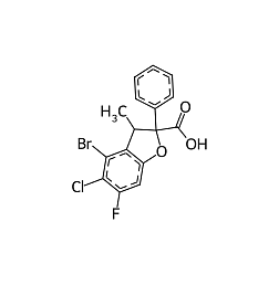 CC1c2c(cc(F)c(Cl)c2Br)OC1(C(=O)O)c1ccccc1